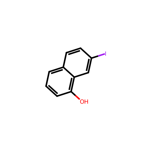 Oc1cccc2ccc(I)cc12